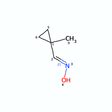 CC1(/C=N/O)CC1